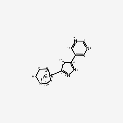 c1ncc(-c2nnc(N3CCN4CCC3CC4)o2)cn1